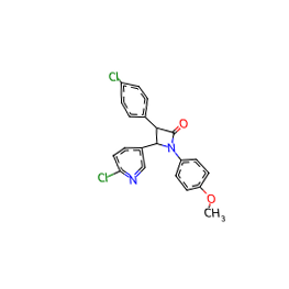 COc1ccc(N2C(=O)C(c3ccc(Cl)cc3)C2c2ccc(Cl)nc2)cc1